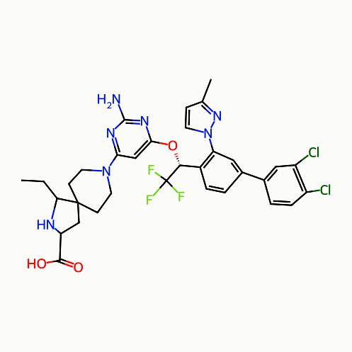 CCC1NC(C(=O)O)CC12CCN(c1cc(O[C@H](c3ccc(-c4ccc(Cl)c(Cl)c4)cc3-n3ccc(C)n3)C(F)(F)F)nc(N)n1)CC2